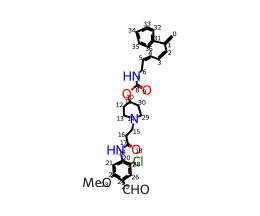 C=C(/C=C\C=C/CNC(=O)OC1CCN(CCC(=O)Nc2cc(OC)c(C=O)cc2Cl)CC1)c1ccccc1